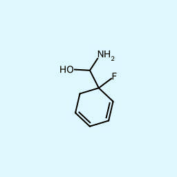 NC(O)C1(F)C=CC=CC1